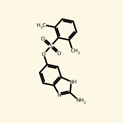 Cc1cccc(C)c1S(=O)(=O)Oc1ccc2nc(N)[nH]c2c1